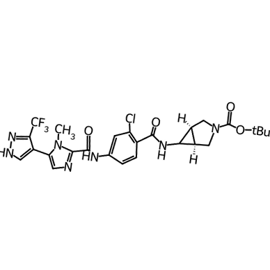 Cn1c(-c2c[nH]nc2C(F)(F)F)cnc1C(=O)Nc1ccc(C(=O)NC2[C@H]3CN(C(=O)OC(C)(C)C)C[C@@H]23)c(Cl)c1